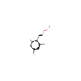 O=[C]OCC=Cc1c(C(F)(F)F)cc(C(F)(F)F)cc1C(F)(F)F